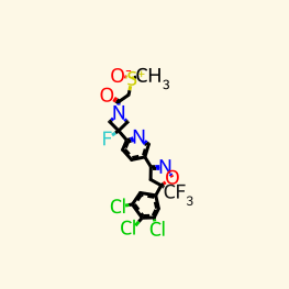 C[S+]([O-])CC(=O)N1CC(F)(c2ccc(C3=NOC(c4cc(Cl)c(Cl)c(Cl)c4)(C(F)(F)F)C3)cn2)C1